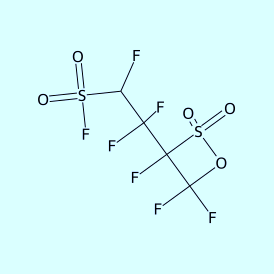 O=S(=O)(F)C(F)C(F)(F)C1(F)C(F)(F)OS1(=O)=O